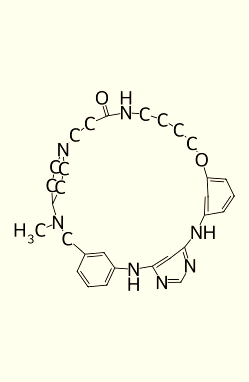 CN1Cc2cccc(c2)Nc2cc(ncn2)Nc2cccc(c2)OCCCCNC(=O)CCN2CCC1CC2